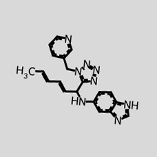 CC=CC=CC(Nc1ccc2[nH]cnc2c1)c1nnnn1Cc1cccnc1